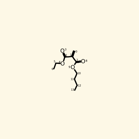 C=C(C(=O)OCC)C(=O)OCCCC